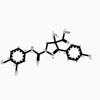 COC(=O)C1(C)CN(C(=O)Nc2ccc(Cl)c(Cl)c2)N=C1c1ccc(Cl)cc1